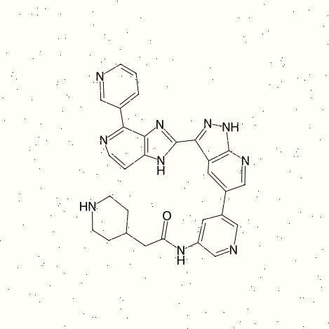 O=C(CC1CCNCC1)Nc1cncc(-c2cnc3[nH]nc(-c4nc5c(-c6cccnc6)nccc5[nH]4)c3c2)c1